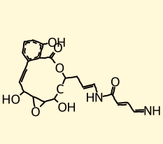 N=C/C=C/C(=O)N/C=C/CC1CC(O)C2OC2C(O)/C=C\c2cccc(O)c2C(=O)O1